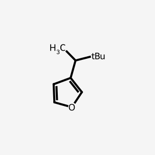 CC(c1ccoc1)C(C)(C)C